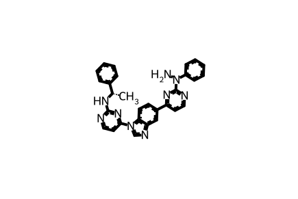 C[C@H](Nc1nccc(-n2cnc3cc(-c4ccnc(N(N)c5ccccc5)n4)ccc32)n1)c1ccccc1